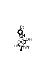 C#CC(CCC)(CCC)N1CC(O)N(c2nc3cc(CC)ccc3s2)C1=O